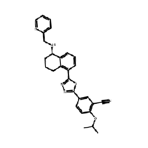 CC(C)Oc1ccc(-c2nnc(-c3cccc4c3CCC[C@H]4NCc3ccccn3)s2)cc1C#N